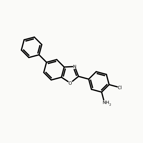 Nc1cc(-c2nc3cc(-c4ccccc4)ccc3o2)ccc1Cl